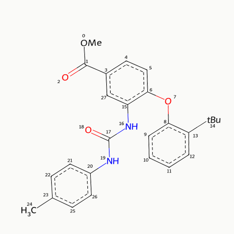 COC(=O)c1ccc(Oc2ccccc2C(C)(C)C)c(NC(=O)Nc2ccc(C)cc2)c1